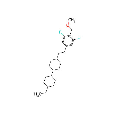 CCC1CCC(C2CCC(CCc3cc(F)c(COC)c(F)c3)CC2)CC1